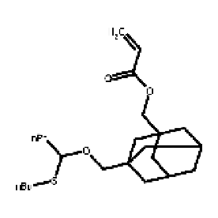 C=CC(=O)OCC12CC3CC(C1)CC(COC(CCC)SCCCC)(C3)C2